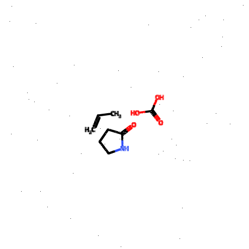 C=CC.O=C(O)O.O=C1CCCN1